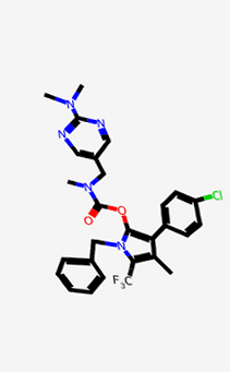 Cc1c(-c2ccc(Cl)cc2)c(OC(=O)N(C)Cc2cnc(N(C)C)nc2)n(Cc2ccccc2)c1C(F)(F)F